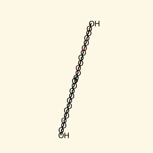 OCCOCCOCCOCCOCCOCCOCCOCCOCCOCCOCCOSOCCOCCOCCOCCOCCOCCOCCOCCOCCOCCOCCO